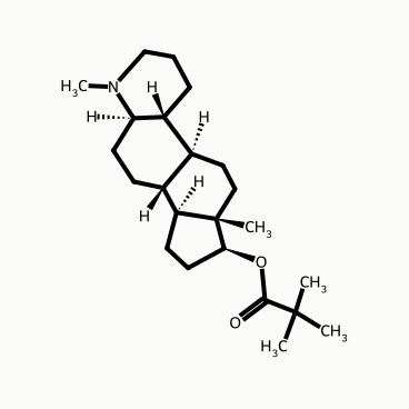 CN1CCC[C@@H]2[C@H]3CC[C@]4(C)[C@@H](OC(=O)C(C)(C)C)CC[C@H]4[C@@H]3CC[C@H]21